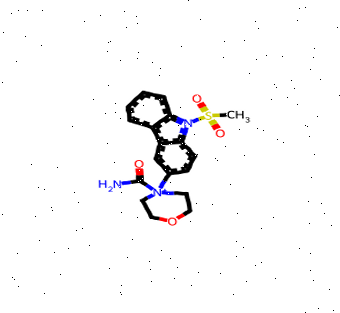 CS(=O)(=O)n1c2ccccc2c2cc([N+]3(C(N)=O)CCOCC3)ccc21